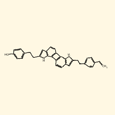 C=Cc1ccc(CCc2cc3ccc4c(c3[nH]2)-c2ccc3cc(CCc5ccc(O)cc5)[nH]c3c2-4)cc1